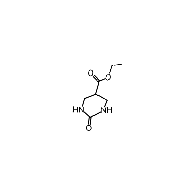 CCOC(=O)C1CNC(=O)NC1